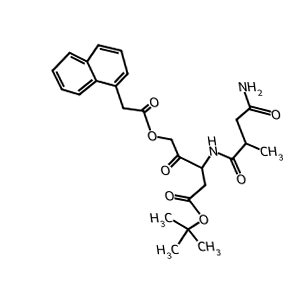 CC(CC(N)=O)C(=O)NC(CC(=O)OC(C)(C)C)C(=O)COC(=O)Cc1cccc2ccccc12